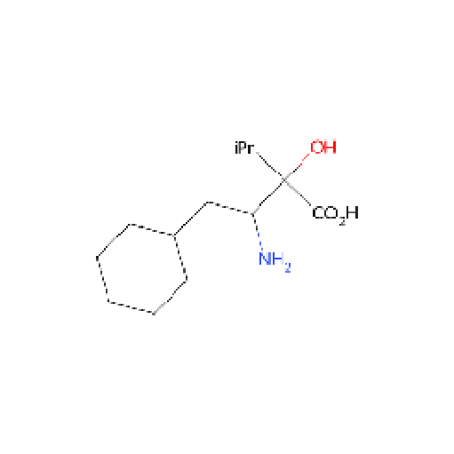 CC(C)C(O)(C(=O)O)C(N)CC1CCCCC1